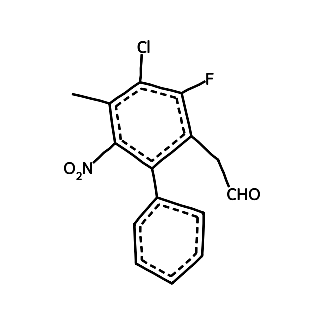 Cc1c(Cl)c(F)c(CC=O)c(-c2ccccc2)c1[N+](=O)[O-]